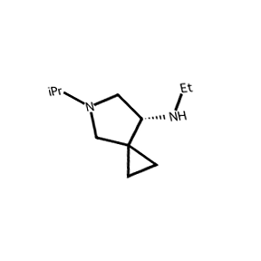 CCN[C@H]1CN(C(C)C)CC12CC2